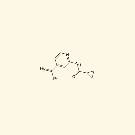 N=C(S)c1ccnc(NC(=O)C2CC2)c1